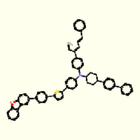 C=C/C(=C\C=C\c1ccccc1)c1ccc(N(c2ccc(-c3ccc(-c4ccc(-c5ccc6oc7ccccc7c6c5)cc4)s3)cc2)C2CCC(c3ccc(-c4ccccc4)cc3)CC2)cc1